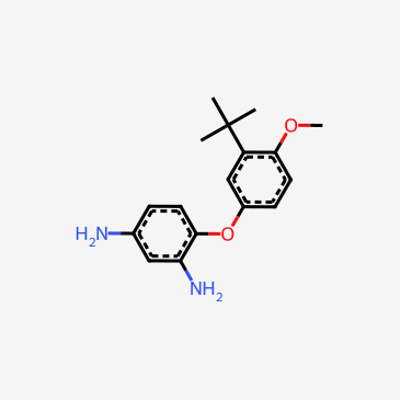 COc1ccc(Oc2ccc(N)cc2N)cc1C(C)(C)C